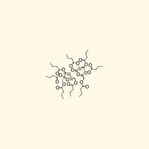 CCCC(=O)OC[C@H]1O[C@@H](O[C@@H]2[C@@H](COC(=O)CCC)O[C@@](COC(=O)CCC)(OC(=O)CCC)[C@H]2OC(=O)CCC)[C@H](OC(=O)CCC)[C@@H](OC(=O)CCC)[C@H]1OC(=O)CCC